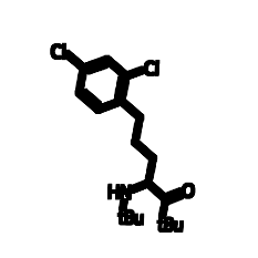 CC(C)(C)NC(CCCc1ccc(Cl)cc1Cl)C(=O)C(C)(C)C